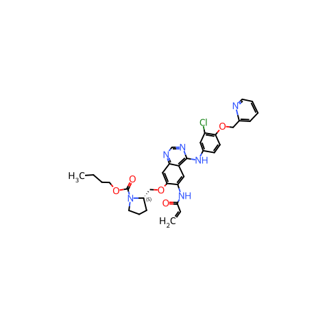 C=CC(=O)Nc1cc2c(Nc3ccc(OCc4ccccn4)c(Cl)c3)ncnc2cc1OC[C@@H]1CCCN1C(=O)OCCCC